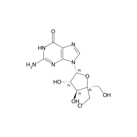 Nc1nc2c(ncn2[C@@H]2O[C@@](CO)(CCl)[C@@H](O)[C@@H]2O)c(=O)[nH]1